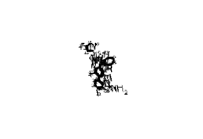 CNC1C[C@H]2CC[C@@H]1N2c1nc(OC[C@@H]2C[C@@H](F)CN2C)nc2c(F)c(-c3ccc(F)c4sc(N)nc34)c(Cl)cc12